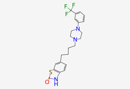 O=c1[nH]c2ccc(CCCCN3CCN(c4cccc(C(F)(F)F)c4)CC3)cc2s1